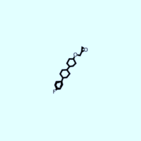 Fc1ccc(C2CCC(C3CCC(OCC4CO4)CC3)CC2)cc1